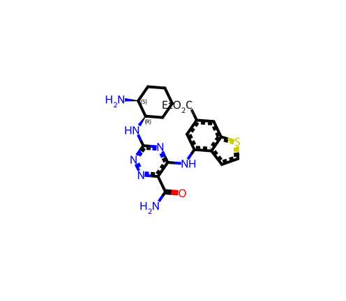 CCOC(=O)c1cc(Nc2nc(N[C@@H]3CCCC[C@@H]3N)nnc2C(N)=O)c2ccsc2c1